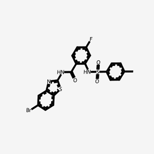 Cc1ccc(S(=O)(=O)Nc2cc(F)ccc2C(=O)Nc2nc3cc(Br)ccc3s2)cc1